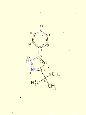 CC(C)(C)c1cc(-c2ccncc2)[nH]n1